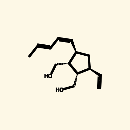 C=C[C@@H]1C[C@H](/C=C\C=C\C)[C@@H](CO)[C@H]1CO